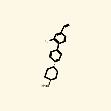 C=Cc1ccc(-c2ccc([C@H]3CC[C@H](CCCCC)CC3)cc2)c(C(F)(F)F)c1